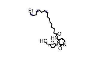 CC/C=C\C/C=C\C/C=C\CCCCCCCC(=O)Nc1ccnc(=O)n1[C@@H]1CC[C@@H](CO)O1